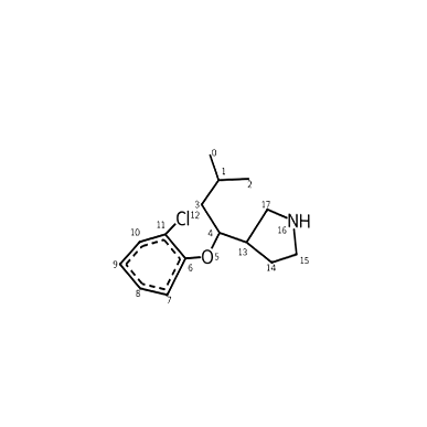 CC(C)CC(Oc1ccccc1Cl)C1CCNC1